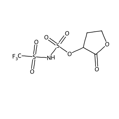 O=C1OCCC1OS(=O)(=O)NS(=O)(=O)C(F)(F)F